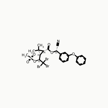 CC1(C)[C@@H]([C@H](OS(C)(=O)=O)C(Br)(Br)Br)[C@H]1C(=O)O[C@H](C#N)c1cccc(Oc2ccccc2)c1